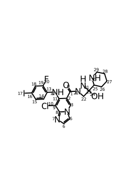 O=C(c1cn2ccnc2c(Cl)c1Nc1ccc(I)cc1F)N1CC(O)(C2CCCCN2)N1